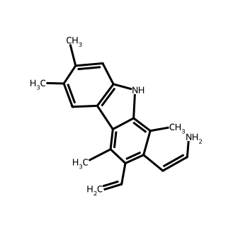 C=Cc1c(/C=C\N)c(C)c2[nH]c3cc(C)c(C)cc3c2c1C